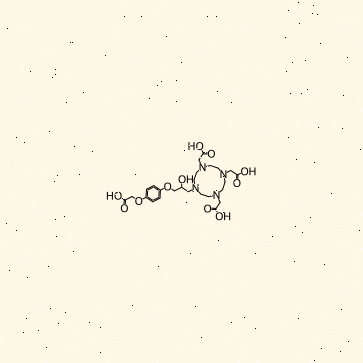 O=C(O)COc1ccc(OCC(O)CN2CCN(CC(=O)O)CCN(CC(=O)O)CCN(CC(=O)O)CC2)cc1